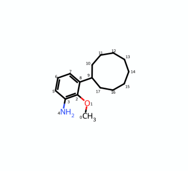 COc1c(N)cccc1C1CCCCCCCC1